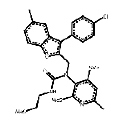 CSCCNC(=O)N(Cc1oc2ccc(C)cc2c1-c1ccc(Cl)cc1)c1c(SC)cc(C)nc1SC